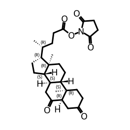 C[C@H](CCC(=O)ON1C(=O)CCC1=O)[C@H]1CC[C@H]2[C@@H]3CC(=O)[C@@H]4CC(=O)CC[C@]4(C)[C@H]3CC[C@]12C